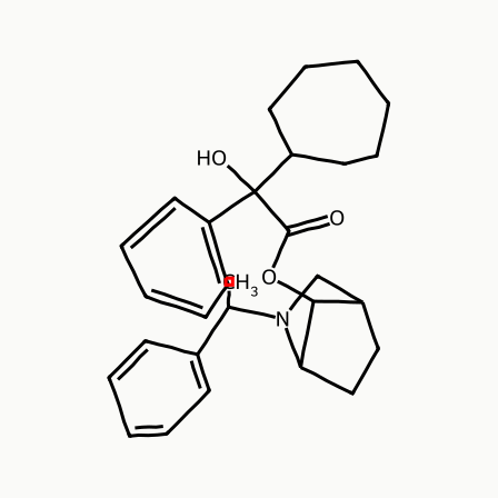 CC(c1ccccc1)N1CC2CCC1C2OC(=O)C(O)(c1ccccc1)C1CCCCCC1